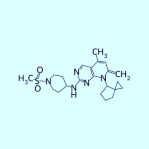 C=C1C=C(C)c2cnc(NC3CCN(S(C)(=O)=O)CC3)nc2N1C1CCCC12CC2